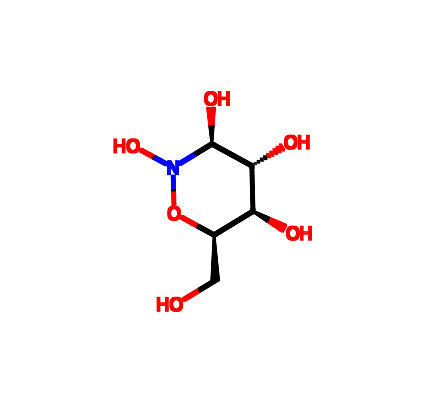 OC[C@H]1ON(O)[C@@H](O)[C@H](O)[C@H]1O